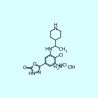 CC(Nc1cc(-c2n[nH]c(=O)o2)cc(N)c1Cl)C1CCNCC1.Cl.Cl